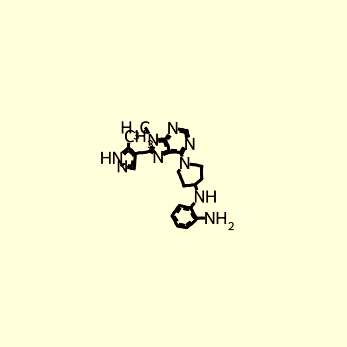 Cc1[nH]ncc1-c1nc2c(N3CCC(Nc4ccccc4N)CC3)ncnc2n1C